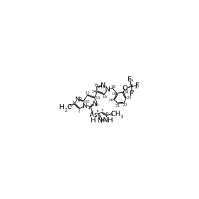 Cc1cn2c([AsH]c3cc(C)[nH]n3)nc(-c3cnn(Cc4ccccc4OC(F)(F)F)c3)cc2n1